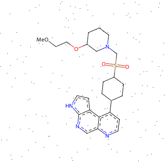 COCCOC1CCCN(CS(=O)(=O)C2CCC(c3ccnc4cnc5[nH]ccc5c34)CC2)C1